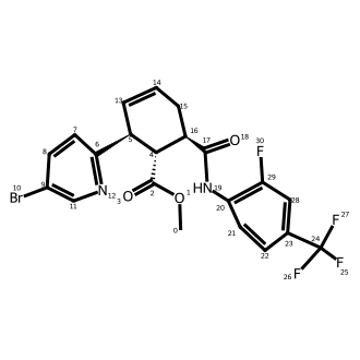 COC(=O)[C@@H]1[C@@H](c2ccc(Br)cn2)C=CC[C@H]1C(=O)Nc1ccc(C(F)(F)F)cc1F